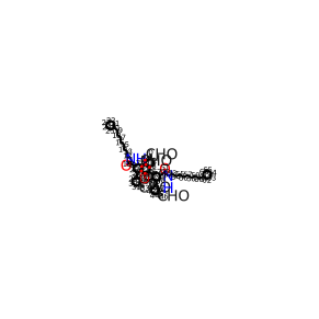 O=Cc1cccc(-c2cc(C(=O)NCCCCCCCCc3ccccc3)cc(-c3cccc(C=O)c3)c2COCc2c(-c3cccc(C=O)c3)cc(C(=O)NCCCCCCCCc3ccccc3)cc2-c2cccc(C=O)c2)c1